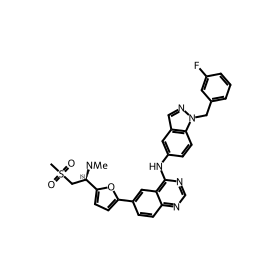 CN[C@H](CS(C)(=O)=O)c1ccc(-c2ccc3ncnc(Nc4ccc5c(cnn5Cc5cccc(F)c5)c4)c3c2)o1